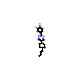 CCC=C[C@H]1CC[C@H](c2cnc(-c3ccc(Cl)c(F)c3)nc2)CC1